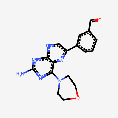 Nc1nc(N2CCOCC2)c2nc(-c3cccc(C=O)c3)cnc2n1